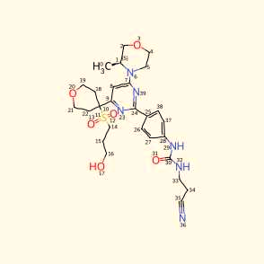 C[C@H]1COCCN1c1cc(C2(S(=O)(=O)CCCO)CCOCC2)nc(-c2ccc(NC(=O)NCCC#N)cc2)n1